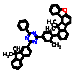 CC1C=C(c2nc(-c3ccccc3)nc(-c3ccc4c(c3)C(C)(C)c3ccccc3-4)n2)C=CC1c1cccc2c1C(C)(C)c1c-2ccc2oc3ccccc3c12